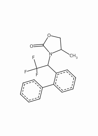 CC1COC(=O)N1C(c1ccccc1-c1ccccc1)C(F)(F)F